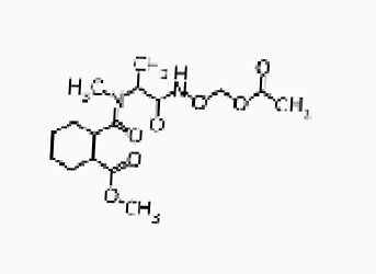 COC(=O)C1CCCCC1C(=O)N(C)C(C)C(=O)NOCOC(C)=O